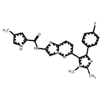 Cc1c[nH]c(C(=O)Nc2cn3nc(-c4c(-c5ccc(F)cc5)nc(C)n4C)ccc3n2)c1